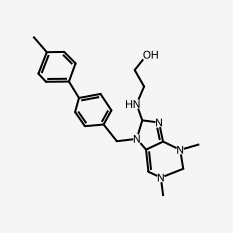 Cc1ccc(-c2ccc(CN3C4=CN(C)CN(C)C4=NC3NCCO)cc2)cc1